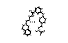 CC(=O)N(C)CCN1CCN(Cc2cccc(C(=O)NC[C@H](O)CN3CCc4ccccc4C3)c2)CC1